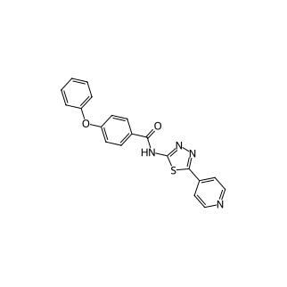 O=C(Nc1nnc(-c2ccncc2)s1)c1ccc(Oc2ccccc2)cc1